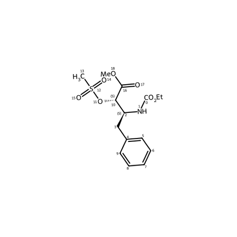 CCOC(=O)N[C@@H](Cc1ccccc1)[C@H](OS(C)(=O)=O)C(=O)OC